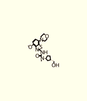 COc1ccc(N2CCOCC2)c2sc(NC(=O)N(C)[C@@H]3CC[C@H](CO)C3)nc12